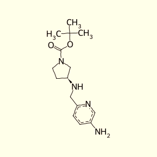 CC(C)(C)OC(=O)N1CC[C@H](NCc2ccc(N)cn2)C1